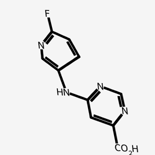 O=C(O)c1cc(Nc2ccc(F)nc2)ncn1